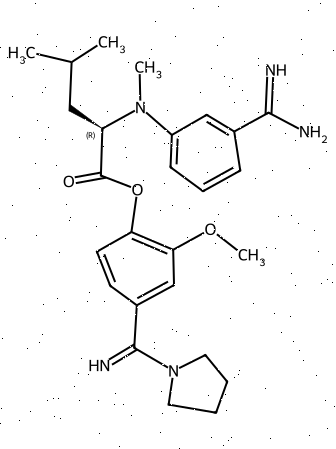 COc1cc(C(=N)N2CCCC2)ccc1OC(=O)[C@@H](CC(C)C)N(C)c1cccc(C(=N)N)c1